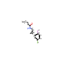 CCCC(=O)NC[C@@H]1C[C@H]1c1cc(F)ccc1I